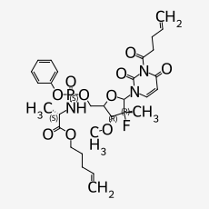 C=CCCCOC(=O)[C@H](C)N[P@](=O)(OCC1OC(n2ccc(=O)n(C(=O)CCC=C)c2=O)[C@](C)(F)[C@@H]1OC)Oc1ccccc1